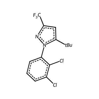 CC(C)(C)c1cc(C(F)(F)F)nn1-c1cccc(Cl)c1Cl